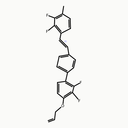 C=CCOc1ccc(-c2ccc(/C=C/c3ccc(C)c(F)c3F)cc2)c(F)c1F